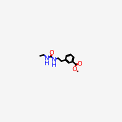 CCNC(=O)NCCc1cccc(C(=O)OC)c1